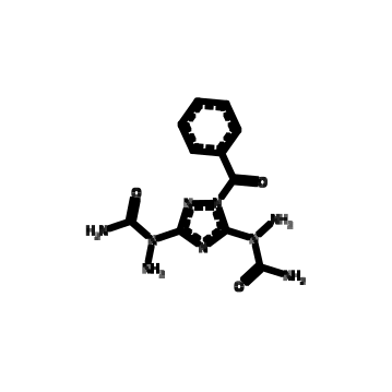 NC(=O)N(N)c1nc(N(N)C(N)=O)n(C(=O)c2ccccc2)n1